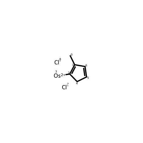 CC1=[C]([Os+2])CC=C1.[Cl-].[Cl-]